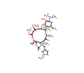 CO[C@]1(C)C[C@@H](C)C(=O)[C@H](C)[C@H]2N(C[C@H]3CCN(C)C3)C(=O)O[C@]2(C)[C@@H](I)OC(=O)[C@H](C)C(=O)[C@H](C)[C@H]1O[C@@H]1O[C@H](C)C[C@H](N(C)C)[C@H]1O